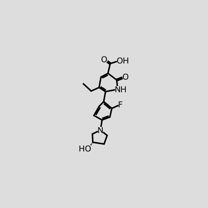 CCc1cc(C(=O)O)c(=O)[nH]c1-c1ccc(N2CC[C@H](O)C2)cc1F